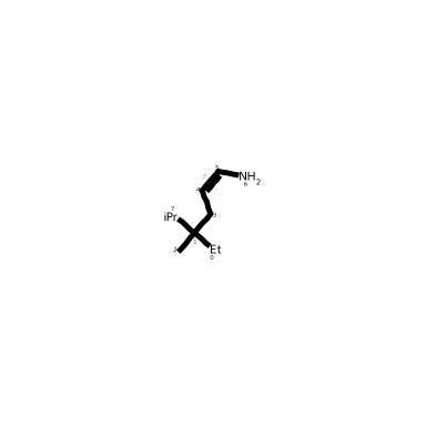 CCC(C)(C/C=C\N)C(C)C